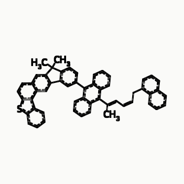 C/C(=C\C=C/Cc1cccc2ccccc12)c1c2ccccc2c(-c2ccc3c(c2)-c2cc4c(ccc5sc6ccccc6c54)cc2C3(C)C)c2ccccc12